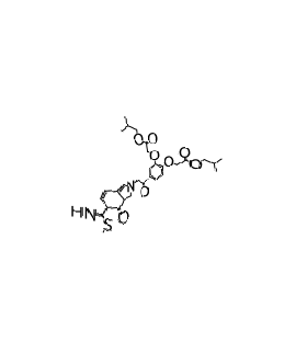 CSC(=N)C1C=CC2=CN(CC(=O)c3ccc(OCC(=O)OCC(C)C)c(OCC(=O)OCC(C)C)c3)CC2C1=O